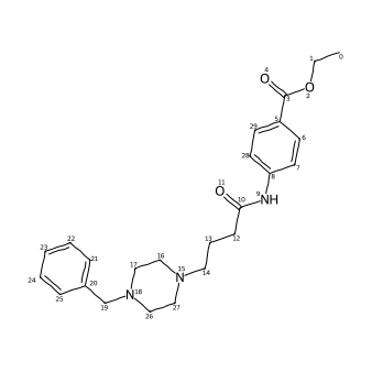 CCOC(=O)c1ccc(NC(=O)CCCN2CCN(Cc3ccccc3)CC2)cc1